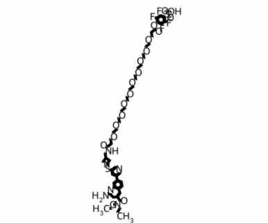 CCCN(OCC)C(=O)C1=Cc2ccc(-c3cncc(SN4CC(CNC(=O)CCOCCOCCOCCOCCOCCOCCOCCOCCOCCOCCC(=O)Oc5c(F)c(F)c(S(=O)(=O)O)c(F)c5F)C4)c3)cc2N=C(N)C1